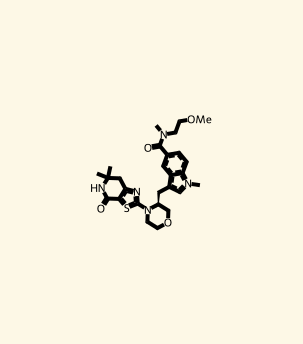 COCCN(C)C(=O)c1ccc2c(c1)c(C[C@H]1COCCN1c1nc3c(s1)C(=O)NC(C)(C)C3)cn2C